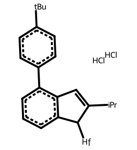 CC(C)C1=Cc2c(-c3ccc(C(C)(C)C)cc3)cccc2[CH]1[Hf].Cl.Cl